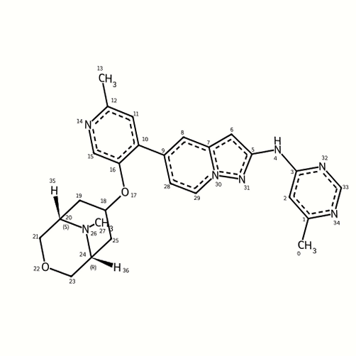 Cc1cc(Nc2cc3cc(-c4cc(C)ncc4OC4C[C@H]5COC[C@@H](C4)N5C)ccn3n2)ncn1